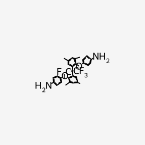 Cc1cc(C)c(Oc2ccc(N)cc2)c(C(c2cc(C)cc(C)c2Oc2ccc(N)cc2)(C(F)(F)F)C(F)(F)F)c1